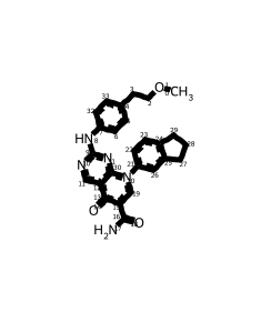 COCCc1ccc(Nc2ncc3c(=O)c(C(N)=O)cn(-c4ccc5c(c4)CCC5)c3n2)cc1